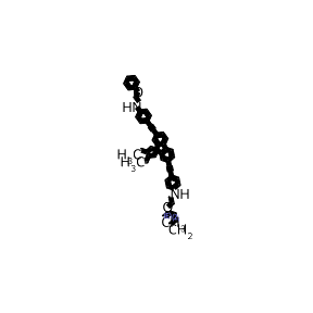 C=C/C=C\C(=C/C)OCCNc1ccc(C#Cc2ccc3c(c2)C(CCCC)(CCCC)c2cc(C#Cc4ccc(NCCOc5ccccc5)cc4)ccc2-3)cc1